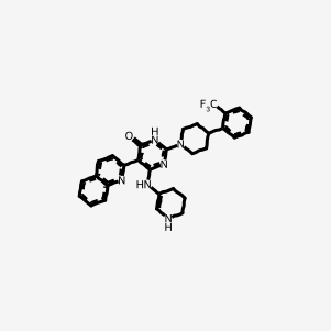 O=c1[nH]c(N2CCC(c3ccccc3C(F)(F)F)CC2)nc(NC2=CNCCC2)c1-c1ccc2ccccc2n1